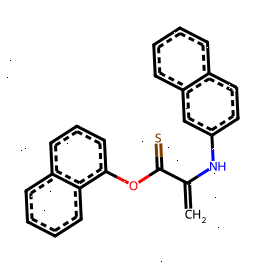 C=C(Nc1ccc2ccccc2c1)C(=S)Oc1cccc2ccccc12